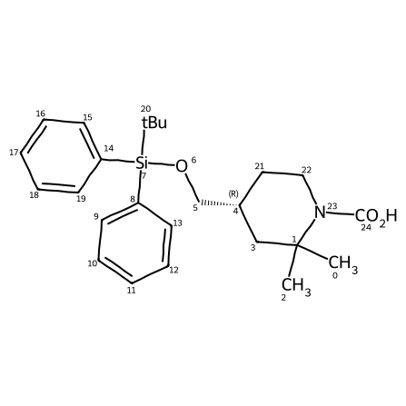 CC1(C)C[C@H](CO[Si](c2ccccc2)(c2ccccc2)C(C)(C)C)CCN1C(=O)O